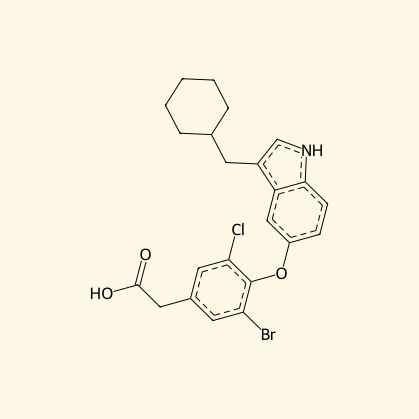 O=C(O)Cc1cc(Cl)c(Oc2ccc3[nH]cc(CC4CCCCC4)c3c2)c(Br)c1